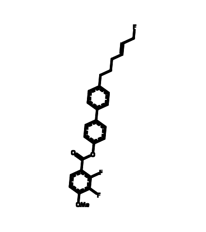 COc1ccc(C(=O)Oc2ccc(-c3ccc(CCC/C=C/CF)cc3)cc2)c(F)c1F